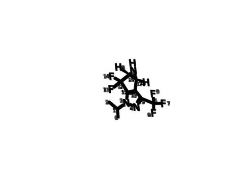 CC(C)n1nc(C(F)(F)F)c2c1C(F)(F)[C@@H]1N[C@H]21